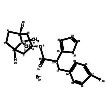 C[N+]1(C)[C@@H]2CC[C@H]1C[C@@H](OC(=O)N(Cc1ccc(F)cc1)c1cccs1)C2.[Br-]